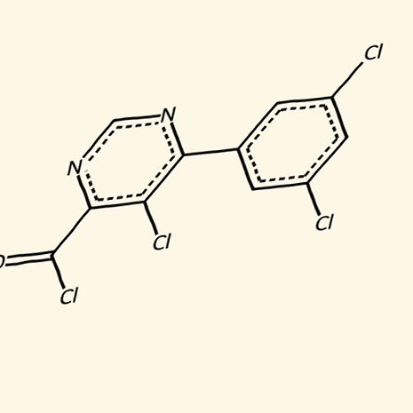 O=C(Cl)c1ncnc(-c2cc(Cl)cc(Cl)c2)c1Cl